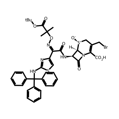 CC(C)(C)OC(=O)C(C)(C)O/N=C(\C(=O)N[C@@H]1C(=O)N2C(C(=O)O)=C(CBr)C[S@+]([O-])[C@H]12)c1csc(NC(c2ccccc2)(c2ccccc2)c2ccccc2)n1